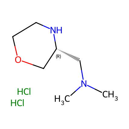 CN(C)C[C@@H]1COCCN1.Cl.Cl